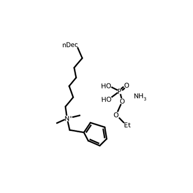 CCCCCCCCCCCCCCCC[N+](C)(C)Cc1ccccc1.CCOOP(=O)(O)O.N